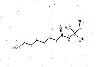 CCCCCCCCCCCCCCCC(=O)NC(C)(C)CN